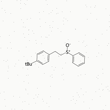 CC(C)(C)c1ccc(CC[S+]([O-])c2ccccc2)cc1